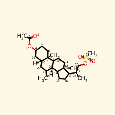 CC(=O)O[C@H]1CC[C@]2(C)C3CC[C@@]4(C)C(CCC4[C@H](C)COS(C)(=O)=O)[C@@H]3C(C)C[C@@H]2C1